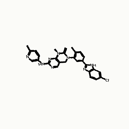 C=C1N(C)c2nc(Nc3ccc(C)nc3)ncc2CN1c1cc(-c2nc3ccc(Cl)cc3[nH]2)ccc1C